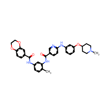 Cc1ccc(NC(=O)c2ccc3c(c2)OCCO3)cc1NC(=O)c1ccc(Nc2cccc(OC3CCN(C)CC3)c2)nc1